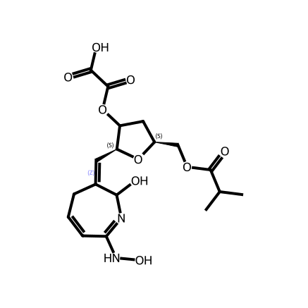 CC(C)C(=O)OC[C@@H]1CC(OC(=O)C(=O)O)[C@H](/C=C2/CC=CC(NO)=NC2O)O1